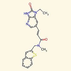 CCn1c(=O)[nH]c2ncc(/C=C/C(=O)N(C)Cc3cc4ccccc4s3)cc21